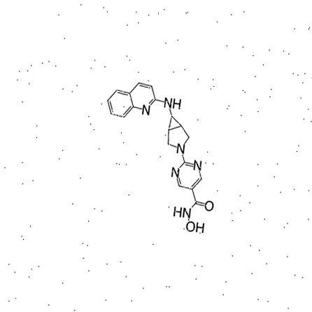 O=C(NO)c1cnc(N2CC3C(C2)C3Nc2ccc3ccccc3n2)nc1